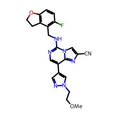 COCCn1cc(-c2cnc(NCc3c(F)ccc4c3CCO4)n3cc(C#N)nc23)cn1